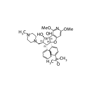 COc1cc2c(c(OC)n1)[C@]1(O)[C@H](O)[C@H](CN3CCN(C)CC3)[C@@H](c3ccccc3)[C@]1(c1ccc(P(C)(C)=O)cc1)O2